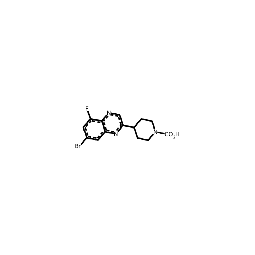 O=C(O)N1CCC(c2cnc3c(F)cc(Br)cc3n2)CC1